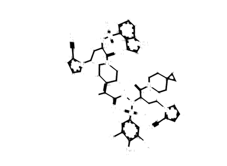 CC(C(=O)ON(C(CCn1cccc1C#N)C(=O)N1CCC2(CC1)CC2)S(=O)(=O)c1cc(Cl)c(N)c(Cl)c1)=C1CCN(C(=O)C(CCn2cccc2C#N)NS(=O)(=O)c2cccc3[nH]ccc23)CC1